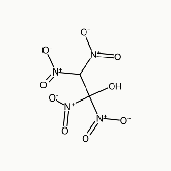 O=[N+]([O-])C([N+](=O)[O-])C(O)([N+](=O)[O-])[N+](=O)[O-]